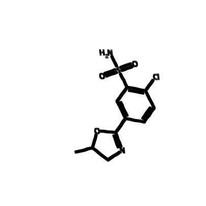 CC1CN=C(c2ccc(Cl)c(S(N)(=O)=O)c2)O1